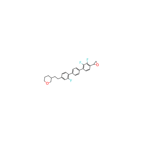 Fc1cc(CCC2CCCOC2)ccc1-c1ccc(-c2ccc(C3CO3)c(F)c2F)cc1